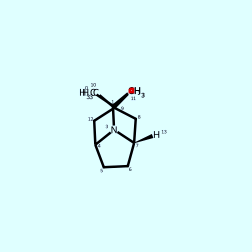 CC(C)N1C2CC[C@H]1CC(C)(C)C2